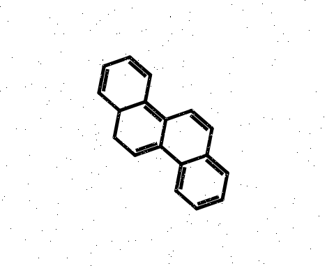 C1=CC2=c3ccc4ccccc4c3=CCC2C=C1